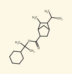 CC(C)C1C2CC(C(=O)OC(C)(C)C3CCCCC3)C(C2)C1C